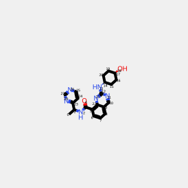 CC(NC(=O)c1cccc2cnc(N[C@H]3CC[C@H](O)CC3)nc12)c1ccncn1